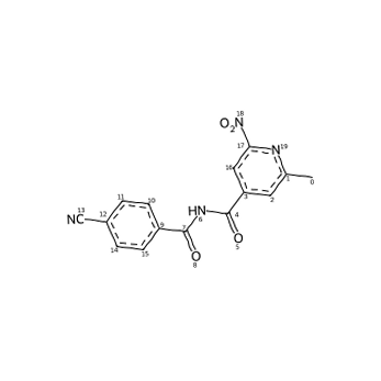 Cc1cc(C(=O)NC(=O)c2ccc(C#N)cc2)cc([N+](=O)[O-])n1